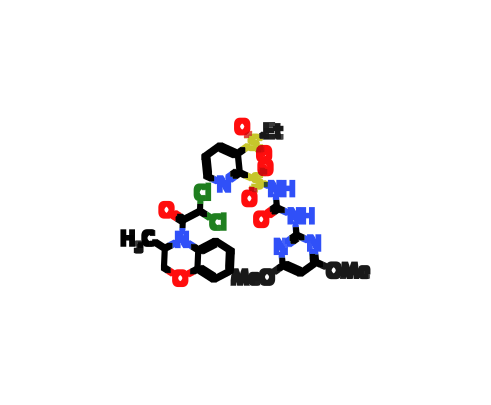 CC1COc2ccccc2N1C(=O)C(Cl)Cl.CCS(=O)(=O)c1cccnc1S(=O)(=O)NC(=O)Nc1nc(OC)cc(OC)n1